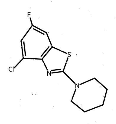 Fc1[c]c2sc(N3CCCCC3)nc2c(Cl)c1